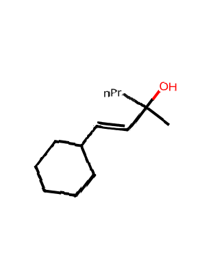 CCCC(C)(O)C=[C]C1CCCCC1